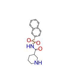 O=C(NS(=O)(=O)c1ccc2ccccc2c1)C1CCCNC1